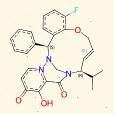 CC(C)[C@@H]1/C=C/COc2c(F)cccc2[C@H](c2ccccc2)N2CN1C(=O)c1c(O)c(=O)ccn12